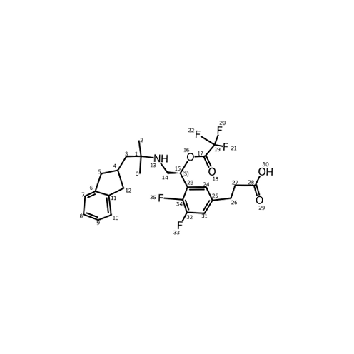 CC(C)(CC1Cc2ccccc2C1)NC[C@@H](OC(=O)C(F)(F)F)c1cc(CCC(=O)O)cc(F)c1F